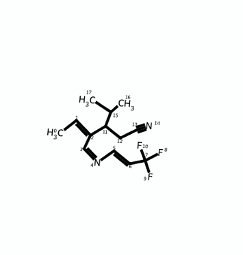 C\C=C(/C=N\C=C\C(F)(F)F)C(CC#N)C(C)C